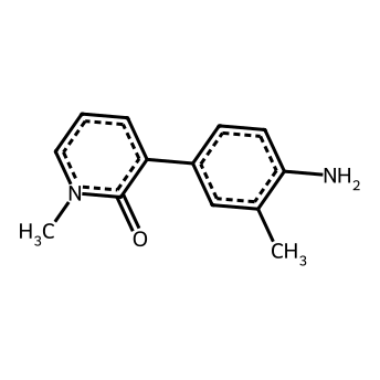 Cc1cc(-c2cccn(C)c2=O)ccc1N